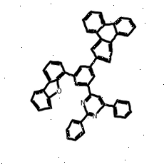 c1ccc(-c2cc(-c3cc(-c4ccc5c6ccccc6c6ccccc6c5c4)cc(-c4cccc5c4oc4ccccc45)c3)nc(-c3ccccc3)n2)cc1